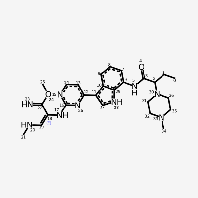 CCC(C(=O)Nc1cccc2c(-c3ccnc(N/C(=C/NC)C(=N)OC)n3)c[nH]c12)N1CCN(C)CC1